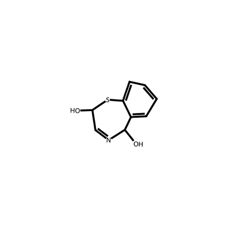 OC1C=NC(O)c2ccccc2S1